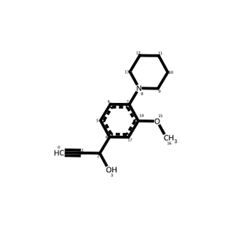 C#CC(O)c1ccc(N2CCCCC2)c(OC)c1